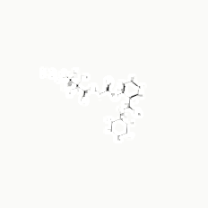 O=C(COC(=O)C(F)(F)C(F)(F)C(=O)O)Oc1ccccc1C(=O)OC1CCCCC1